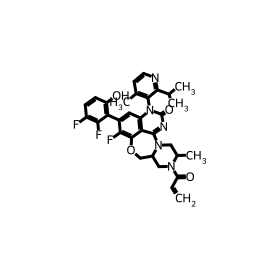 C=CC(=O)N1CC2COc3c(F)c(-c4c(O)ccc(F)c4F)cc4c3c(nc(=O)n4-c3c(C)ccnc3C(C)C)N2CC1C